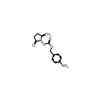 C=C1CCC(=O)N1OC(=O)OCc1ccc([N+](=O)[O-])cc1